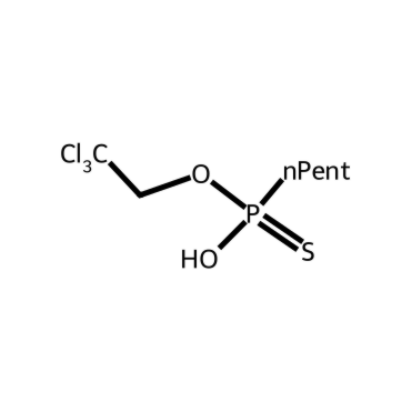 CCCCCP(O)(=S)OCC(Cl)(Cl)Cl